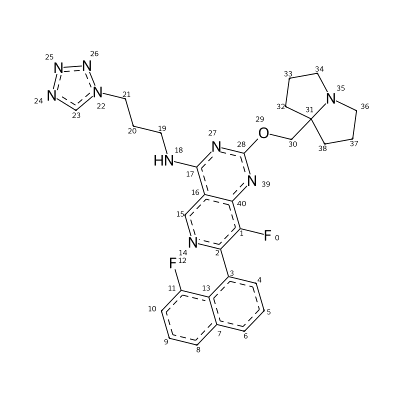 Fc1c(-c2cccc3cccc(F)c23)ncc2c(NCCCn3cnnn3)nc(OCC34CCCN3CCC4)nc12